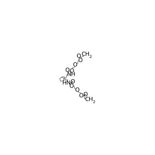 C=CC(=O)OCCOCCOC(=O)NCCC1C2CCC1C(CNC(=O)OCCOCCOC(=O)C=C)C2